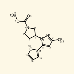 CC(C)(C)OC(=O)N1CCC(n2nc(C(F)(F)F)cc2-c2ccco2)C1